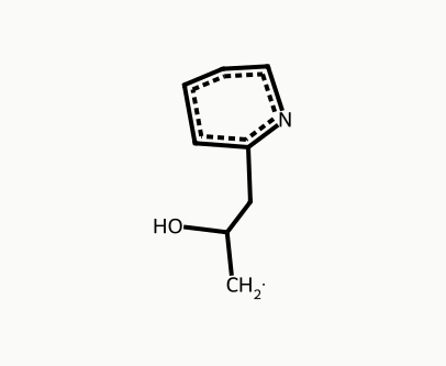 [CH2]C(O)Cc1ccccn1